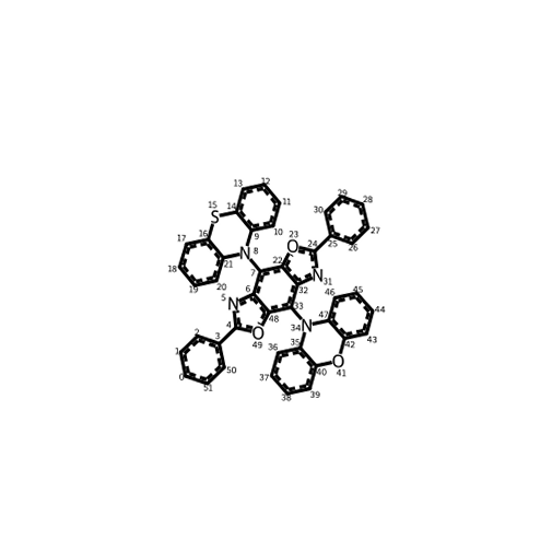 c1ccc(-c2nc3c(N4c5ccccc5Sc5ccccc54)c4oc(-c5ccccc5)nc4c(N4c5ccccc5Oc5ccccc54)c3o2)cc1